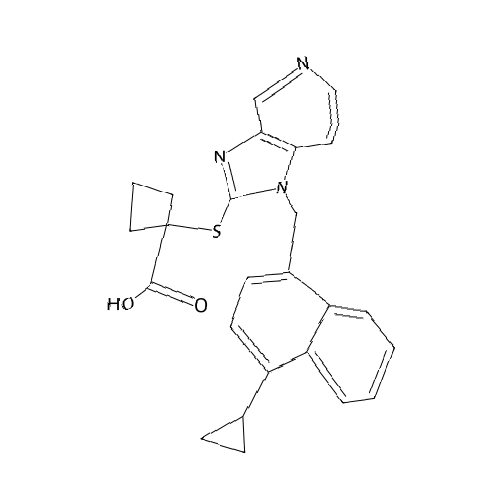 O=C(O)C1(Sc2nc3cnccc3n2Cc2ccc(C3CC3)c3ccccc23)CCC1